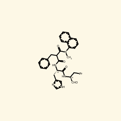 CC(C)C[C@@H](C=O)NC(=O)[C@H](Cc1c[nH]cn1)NC(=O)C(Cc1ccccc1)C(=O)N(C)c1cccc2ccccc12